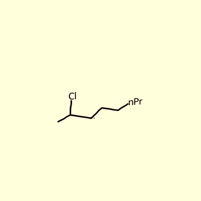 CCCCC[CH]C(C)Cl